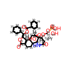 CC(C)[C@]12O[C@H]1N[C@]1(O)[C@]3(O[C@H]3C[C@H]3C4=C(CC[C@@]31C)C(=O)O/C4=C(/OC(=O)c1ccccc1)c1ccccc1)[C@@H]2OCOP(=O)(O)O